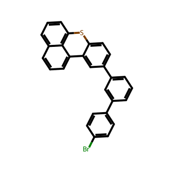 Brc1ccc(-c2cccc(-c3ccc4c(c3)-c3cccc5cccc(c35)S4)c2)cc1